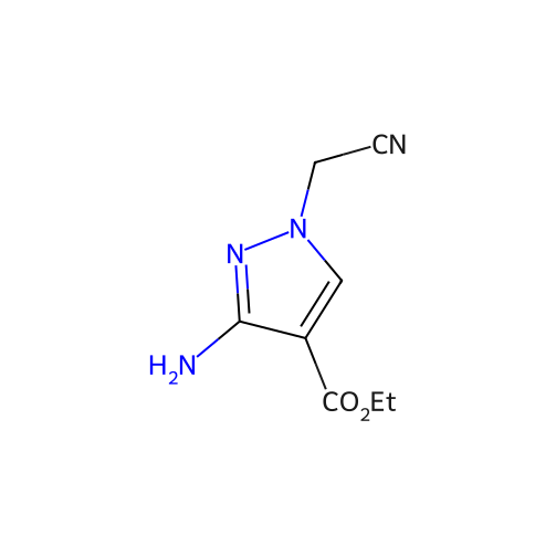 CCOC(=O)c1cn(CC#N)nc1N